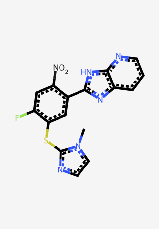 Cn1ccnc1Sc1cc(-c2nc3cccnc3[nH]2)c([N+](=O)[O-])cc1F